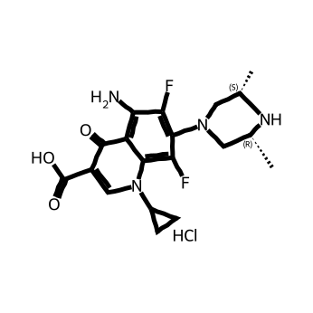 C[C@@H]1CN(c2c(F)c(N)c3c(=O)c(C(=O)O)cn(C4CC4)c3c2F)C[C@H](C)N1.Cl